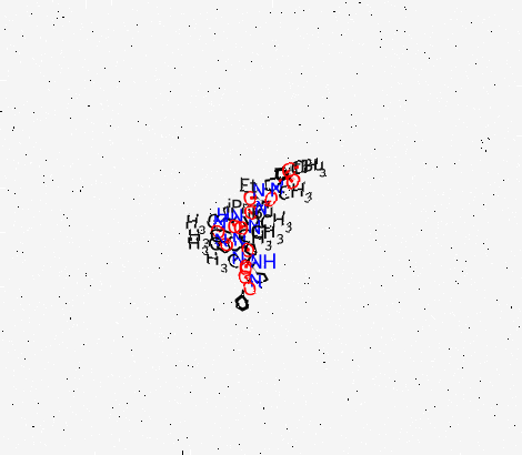 CC[C@H](C)[C@H](NC(=O)[C@H](CC(C)C)N(C)C(=O)C[C@@H](C(=O)N(C)C)N(C)C(=O)[C@H](C1CCCC1)N(C)C(=O)C1(NC(=O)[C@@H]2CCCN2C(=O)OCc2ccccc2)CCCC1)C(=O)N(C)[C@@H](C)C(=O)N1CC[C@H]1C(=O)N(CC)[C@@H](Cc1ccc(C)cc1)C(=O)N(C)CC(=O)OC(C)(C)C